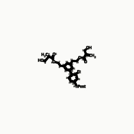 C=C(CO)C(=O)OCCc1cc(CCOC(=O)C(=C)CO)cc(-c2ccc(CCCCC)cc2CC)c1